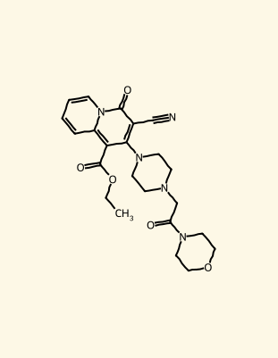 CCOC(=O)c1c(N2CCN(CC(=O)N3CCOCC3)CC2)c(C#N)c(=O)n2ccccc12